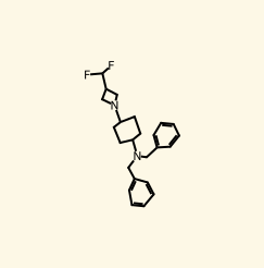 FC(F)C1CN(C2CCC(N(Cc3ccccc3)Cc3ccccc3)CC2)C1